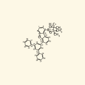 CC1(C)OB(c2cccc3oc4c(-c5cc(-c6ccccc6)cc(-c6ccccc6)c5)cccc4c23)OC1(C)C